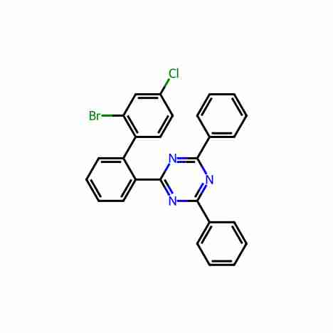 Clc1ccc(-c2ccccc2-c2nc(-c3ccccc3)nc(-c3ccccc3)n2)c(Br)c1